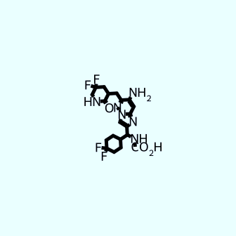 Nc1cc2nc(C(NC(=O)O)C3CCC(F)(F)CC3)cn2nc1CC1CC(F)(F)CNC1=O